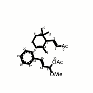 CC(=O)C=CC1C(C)=CCCC1(C)C.COC(C=Cc1ccccc1)OC(C)=O